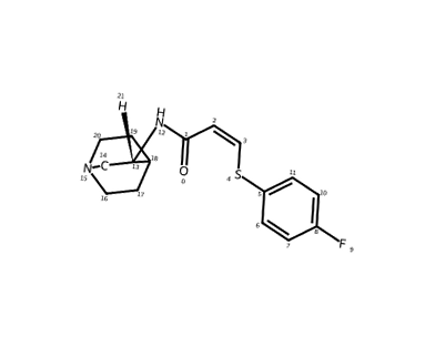 O=C(/C=C\Sc1ccc(F)cc1)N[C@H]1CN2CCC1CC2